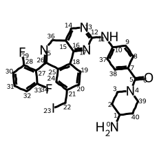 NC1CCN(C(=O)c2ccc(Nc3ncc4c(n3)-c3ccc(CI)cc3C(c3c(F)cccc3F)=NC4)cc2)CC1